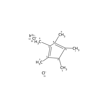 CC1=C(C)C(C)C(C)=C1C.[Cl-].[Cl-].[Ir+2]